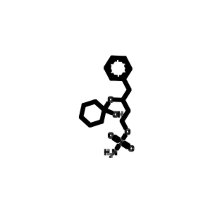 NS(=O)(=O)OCCC(Cc1ccccc1)OC1(O)CCCCC1